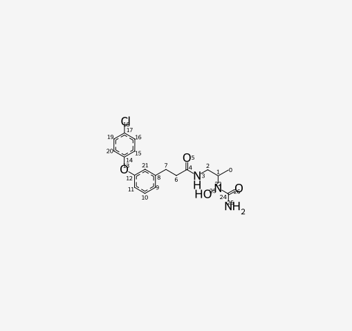 CC(CNC(=O)CCc1cccc(Oc2ccc(Cl)cc2)c1)N(O)C(N)=O